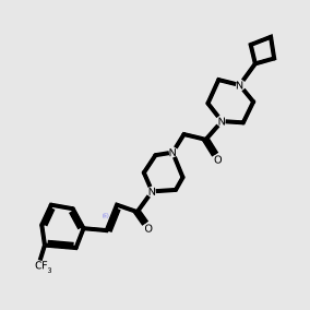 O=C(/C=C/c1cccc(C(F)(F)F)c1)N1CCN(CC(=O)N2CCN(C3CCC3)CC2)CC1